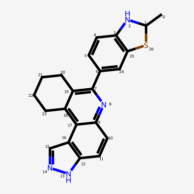 CC1Nc2ccc(-c3nc4ccc5[nH]ncc5c4c4c3CCCC4)cc2S1